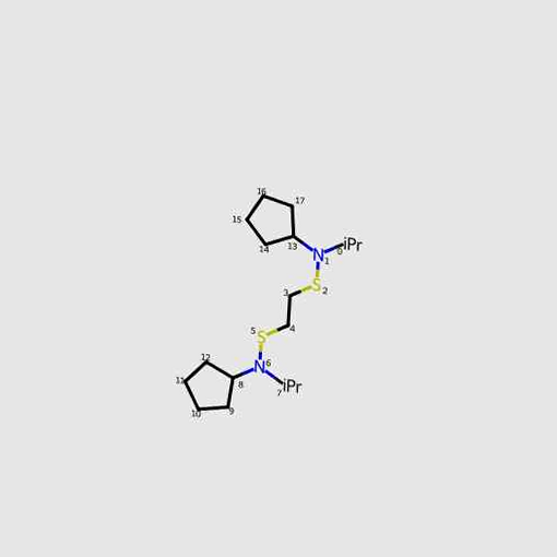 CC(C)N(SCCSN(C(C)C)C1CCCC1)C1CCCC1